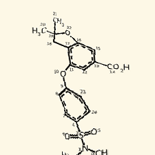 CN(C)S(=O)(=O)c1ccc(Oc2cc(C(=O)O)cc3c2CC(C)(C)O3)cc1